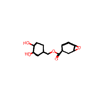 O=C(OCC1CCC(O)C(O)C1)C1CCC2OC2C1